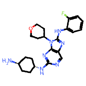 N[C@H]1CC[C@H](Nc2ncc3nc(Nc4ccccc4F)n(C4CCOCC4)c3n2)CC1